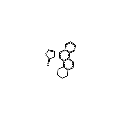 O=C1CC=CO1.c1ccc2c(c1)ccc1c3c(ccc12)CCCC3